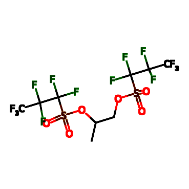 CC(COS(=O)(=O)C(F)(F)C(F)(F)C(F)(F)F)OS(=O)(=O)C(F)(F)C(F)(F)C(F)(F)F